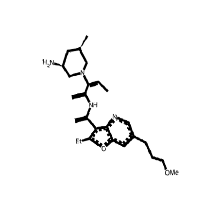 C=C(NC(=C)c1c(CC)oc2cc(CCCOC)cnc12)/C(=C\C)N1C[C@H](C)C[C@H](N)C1